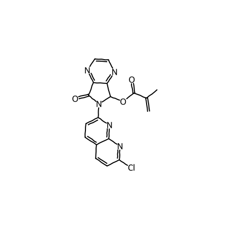 C=C(C)C(=O)OC1c2nccnc2C(=O)N1c1ccc2ccc(Cl)nc2n1